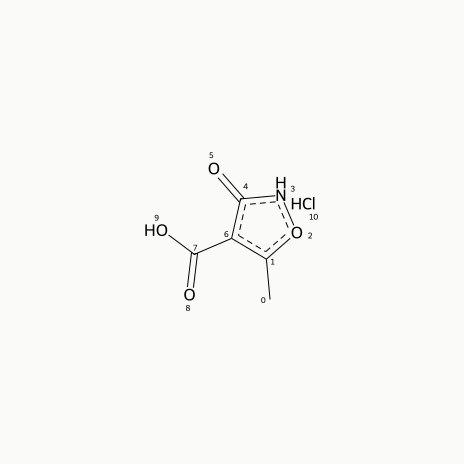 Cc1o[nH]c(=O)c1C(=O)O.Cl